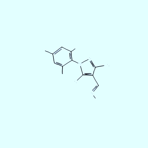 N#Cc1nn(-c2c(Cl)cc(C(F)(F)F)cc2Cl)c(N)c1C=NO